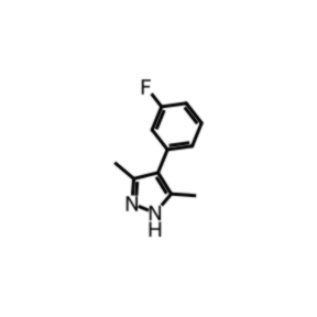 Cc1n[nH]c(C)c1-c1cccc(F)c1